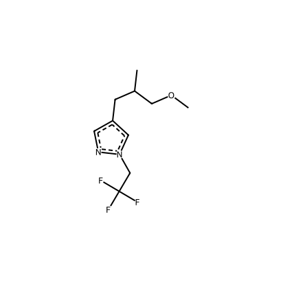 COCC(C)Cc1cnn(CC(F)(F)F)c1